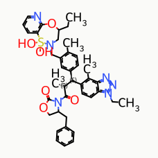 CCC1CN(Cc2cc([C@@H](c3ccc4c(nnn4CC)c3C)[C@@H](C)C(=O)N3C(=O)OCC3Cc3ccccc3)ccc2C)S(O)(O)c2cccnc2O1